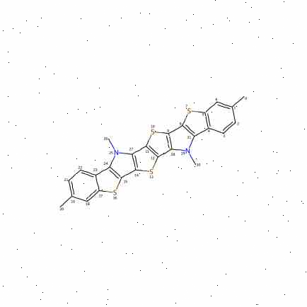 Cc1ccc2c(c1)sc1c3sc4c(sc5c6sc7cc(C)ccc7c6n(C)c54)c3n(C)c21